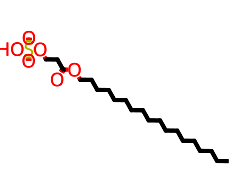 CCCCCCCCCCCCCCCCCCOC(=O)CCOS(=O)(=O)O